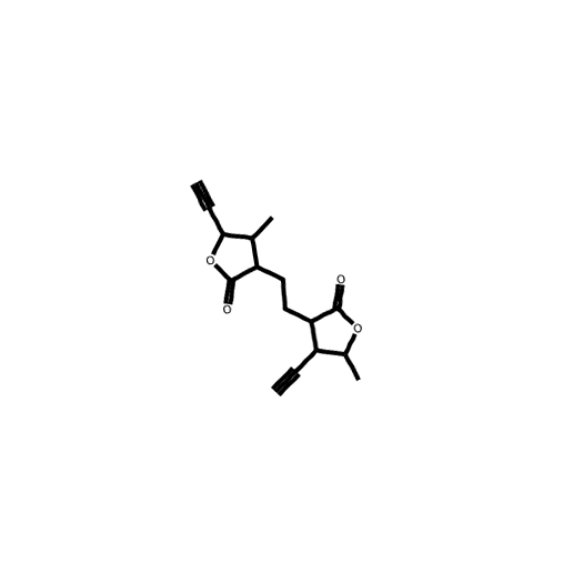 C#CC1OC(=O)C(CCC2C(=O)OC(C)C2C#C)C1C